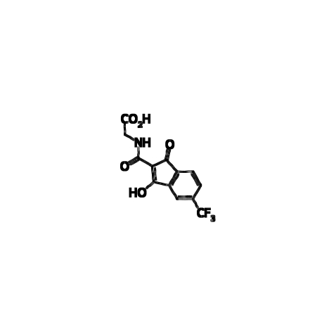 O=C(O)CNC(=O)C1=C(O)c2cc(C(F)(F)F)ccc2C1=O